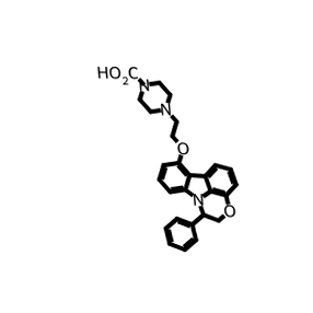 O=C(O)N1CCN(CCOc2cccc3c2c2cccc4c2n3C(c2ccccc2)CO4)CC1